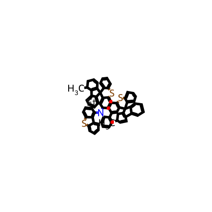 CCC1=C2C(=CCC1N(c1ccccc1-c1ccc3c(c1)C1(C4=C(C=CC(C)C4)c4ccccc41)c1ccccc1S3)c1cccc3sc4ccccc4c13)Sc1ccccc1C21C2=C(c3ccccc31)C(C)CC=C2